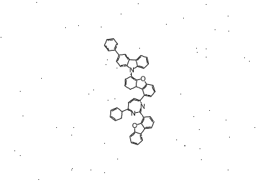 C1=CC(C2C=CC=CC2)=NC(c2cccc3c2oc2ccccc23)=NC=1c1cccc2c1C1CC=CC(n3c4ccccc4c4cc(-c5ccccc5)ccc43)=C1O2